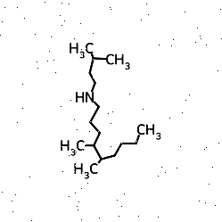 CCCCC(C)C(C)CCCNCCC(C)C